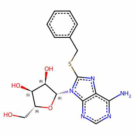 Nc1ncnc2c1nc(SCc1ccccc1)n2[C@@H]1O[C@H](CO)[C@@H](O)[C@H]1O